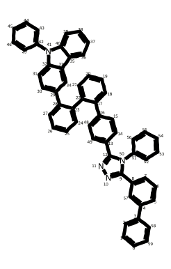 c1ccc(-c2cccc(-c3nnc(-c4ccc(-c5ccccc5-c5ccccc5-c5ccc6c(c5)c5ccccc5n6-c5ccccc5)cc4)n3-c3ccccc3)c2)cc1